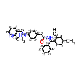 Cc1ccc(C(NC(=O)Cc2ccc(NCc3cccnc3C)cc2)c2ccccc2)c(C)c1